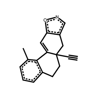 C#CC12CCc3cccc(C)c3C1=Cc1oncc1C2